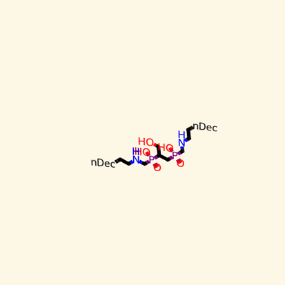 CCCCCCCCCCCCNCP(=O)(O)CC(CO)P(=O)(O)CNCCCCCCCCCCCC